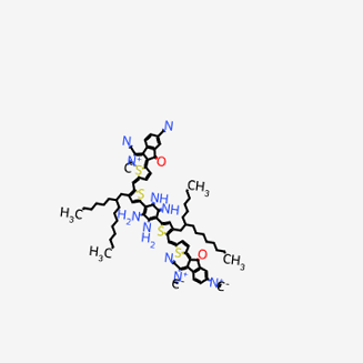 [C-]#[N+]/C(C#N)=C1\C(=c2\cc/c(=C\c3sc(C4=C(N)C(N)=C(c5cc(CC(CCCCCC)CCCCCCCC)c(/C=c6\cc/c(=C7\C(=O)c8cc([N+]#[C-])ccc8\C7=C(\C#N)[N+]#[C-])s6)s5)C(=N)C4=N)cc3CC(CCCCCC)CCCCCCCC)s2)C(=O)c2cc(C#N)ccc21